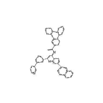 C=C(/N=C(\C=C(/N)c1cccc(-c2cccnc2)c1)c1ccc(-c2ccc3ccccc3c2)cc1)c1ccc2c3ccccc3c3ccccc3c2c1